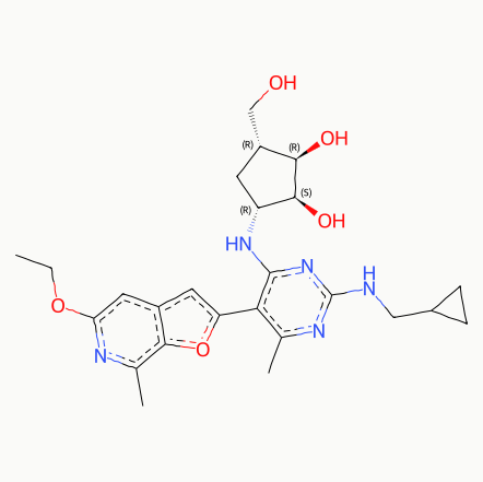 CCOc1cc2cc(-c3c(C)nc(NCC4CC4)nc3N[C@@H]3C[C@H](CO)[C@@H](O)[C@H]3O)oc2c(C)n1